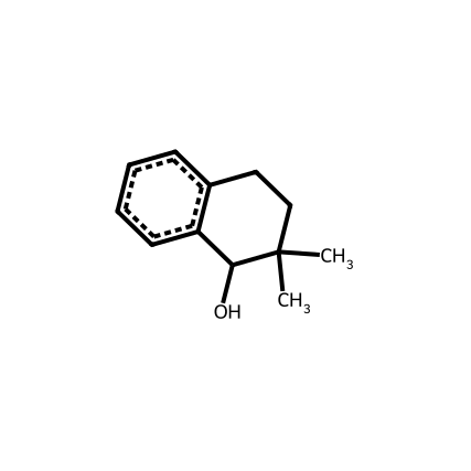 CC1(C)CCc2ccccc2C1O